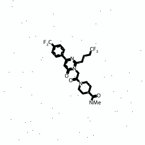 CNC(=O)C1CCN(C(=O)Cn2c(CCCC(F)(F)F)nc(-c3ccc(C(F)(F)F)cc3)cc2=O)CC1